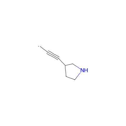 [CH2]C#CC1CCNC1